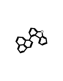 C1=CC(c2cccc3oc4ccccc4c23)c2cccc3cccc1c23